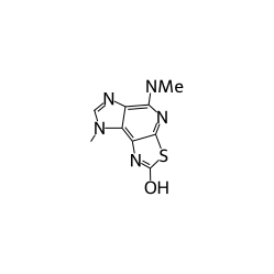 CNc1nc2sc(O)nc2c2c1ncn2C